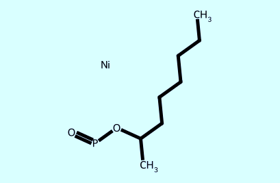 CCCCCCC(C)OP=O.[Ni]